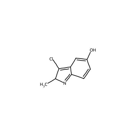 CC1N=c2ccc(O)cc2=C1Cl